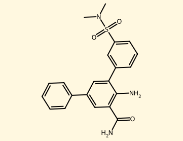 CN(C)S(=O)(=O)c1cccc(-c2cc(-c3ccccc3)cc(C(N)=O)c2N)c1